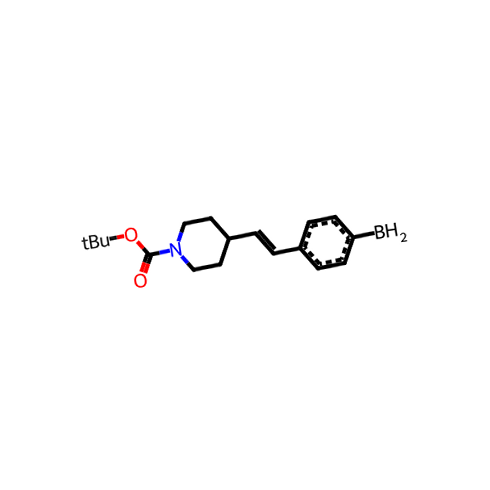 Bc1ccc(/C=C/C2CCN(C(=O)OC(C)(C)C)CC2)cc1